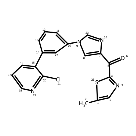 Cc1cnc(C(=O)c2cn(-c3cccc(-c4cccnc4Cl)c3)cn2)s1